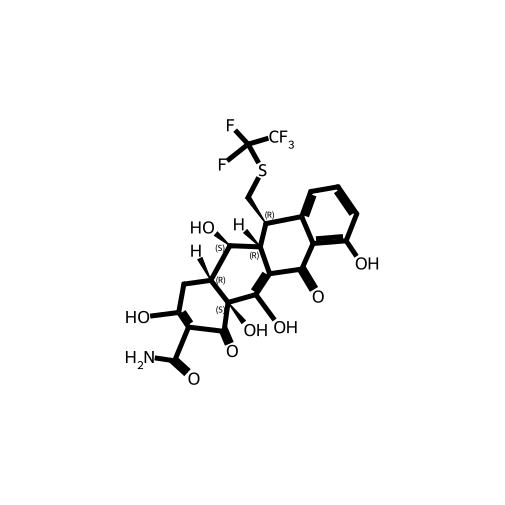 NC(=O)C1=C(O)C[C@@H]2[C@@H](O)[C@H]3C(=C(O)[C@]2(O)C1=O)C(=O)c1c(O)cccc1[C@@H]3CSC(F)(F)C(F)(F)F